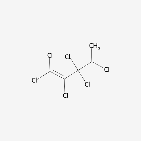 CC(Cl)C(Cl)(Cl)C(Cl)=C(Cl)Cl